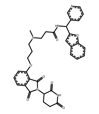 CN(CCCOc1cccc2c1C(=O)N(C1CCC(=O)NC1=O)C2=O)CCC(=O)NC(c1cccnc1)c1cc2ccccc2o1